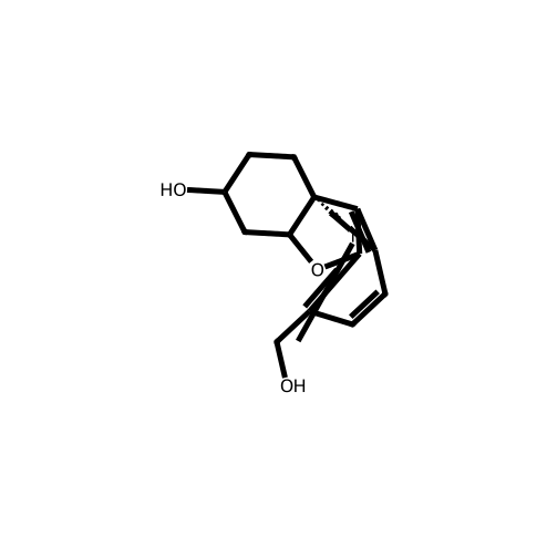 CN1CC[C@@]23CCC(O)CC2Oc2c(CO)ccc(c23)C1